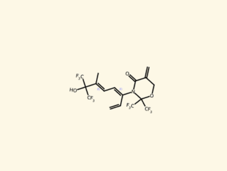 C=C/C(=C\C=C(/C)C(O)(C(F)(F)F)C(F)(F)F)N1C(=O)C(=C)COC1(C(F)(F)F)C(F)(F)F